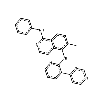 Cc1ccc2c(Nc3ccccc3)nccc2c1Nc1ncccc1-c1ccncn1